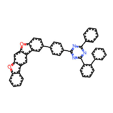 c1ccc(-c2nc(-c3ccc(-c4ccc5oc6cc7oc8ccccc8c7cc6c5c4)cc3)nc(-c3ccccc3-c3ccccc3)n2)cc1